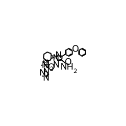 CN(C(=O)n1cncn1)[C@H]1CCCC[C@H](n2nc(-c3ccc(Oc4ccccc4)cc3)c(C(N)=O)c2N)C1